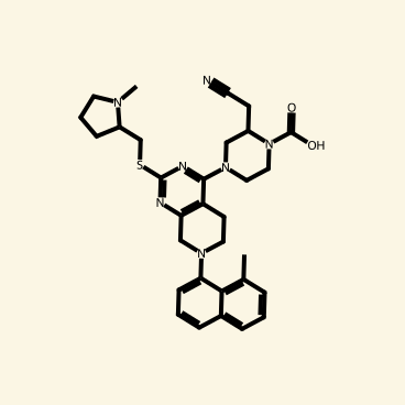 Cc1cccc2cccc(N3CCc4c(nc(SCC5CCCN5C)nc4N4CCN(C(=O)O)C(CC#N)C4)C3)c12